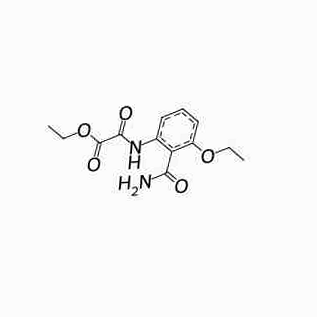 CCOC(=O)C(=O)Nc1cccc(OCC)c1C(N)=O